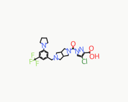 O=C(O)c1nn(C(=O)N2CC3CN(Cc4cc(N5CCCC5)cc(C(F)(F)F)c4)CC3C2)cc1Cl